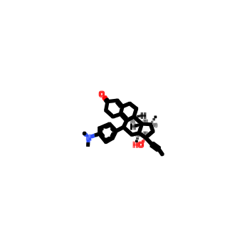 CC#C[C@]1(O)C[C@@H](C)[C@H]2[C@@H]3CCC4=CC(=O)CCC4=C3C(c3ccc(N(C)C)cc3)C[C@@]21C